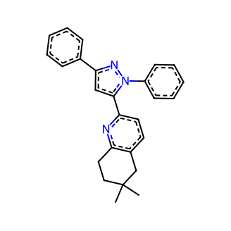 CC1(C)CCc2nc(-c3cc(-c4ccccc4)nn3-c3ccccc3)ccc2C1